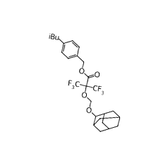 CCC(C)c1ccc(COC(=O)C(OCOC2C3CC4CC(C3)CC2C4)(C(F)(F)F)C(F)(F)F)cc1